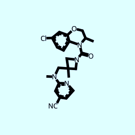 CC1COc2cc(Cl)ccc2N1C(=O)N1CC(C)(CN(C)c2cc(C#N)ccn2)C1